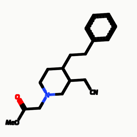 COC(=O)CN1CCC(CCc2ccccc2)C(CC#N)C1